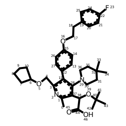 Cc1nc(COC2CCCC2)c(-c2ccc(OCCc3ccc(F)cc3)cc2)c(N2CCC(C)(C)CC2)c1C(OC(C)(C)C)C(=O)O